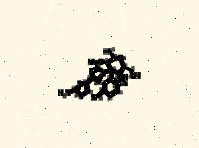 CO[C@H]1[C@@H](S)O[C@H](CO)[C@H](O)C1(c1cc(Br)ccc1C#N)n1cc(-c2csc(N)n2)nn1